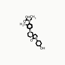 CCN(C(=O)O)c1ccc(N2CCC[C@]3(CCN(C4CCC(O)CC4)C3=O)C2)cc1C